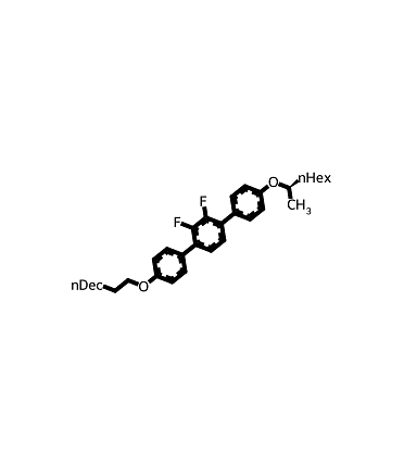 CCCCCCCCCCCCOc1ccc(-c2ccc(-c3ccc(O[C@H](C)CCCCCC)cc3)c(F)c2F)cc1